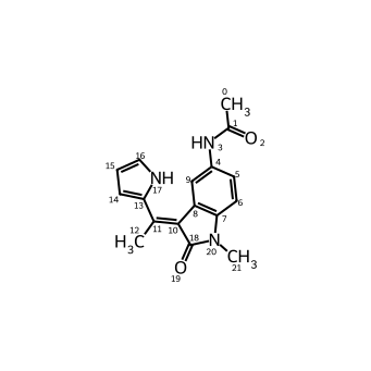 CC(=O)Nc1ccc2c(c1)C(=C(C)c1ccc[nH]1)C(=O)N2C